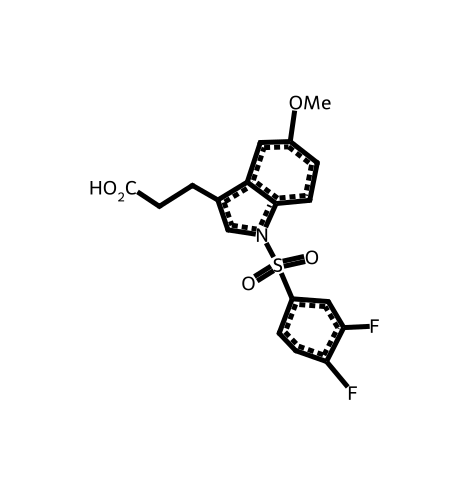 COc1ccc2c(c1)c(CCC(=O)O)cn2S(=O)(=O)c1ccc(F)c(F)c1